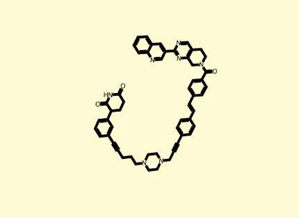 O=C1CCC(c2cccc(C#CCCCN3CCN(CC#Cc4ccc(/C=C/c5ccc(C(=O)N6CCc7cnc(-c8cnc9ccccc9c8)nc7C6)cc5)cc4)CC3)c2)C(=O)N1